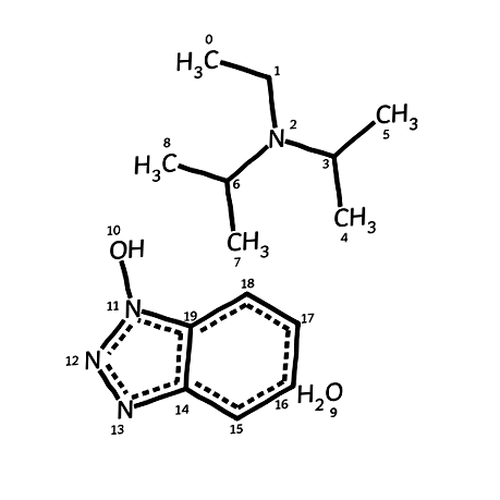 CCN(C(C)C)C(C)C.O.On1nnc2ccccc21